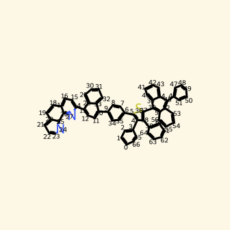 c1ccc(-c2c(-c3ccc(-c4ccc(-c5ccc6ccc7cccnc7c6n5)c5ccccc45)cc3)sc(-c3c4ccccc4c(-c4ccccc4)c4ccccc34)c2-c2ccccc2)cc1